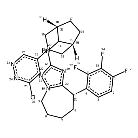 Fc1ccc([C@@H]2CCCCn3nc(NC4[C@@H]5CC[C@H]4CN(c4cnnc(Cl)c4)C5)nc32)c(F)c1F